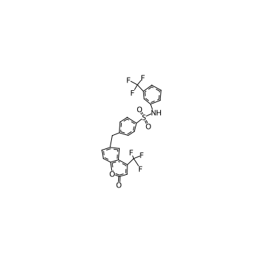 O=c1cc(C(F)(F)F)c2cc(Cc3ccc(S(=O)(=O)Nc4cccc(C(F)(F)F)c4)cc3)ccc2o1